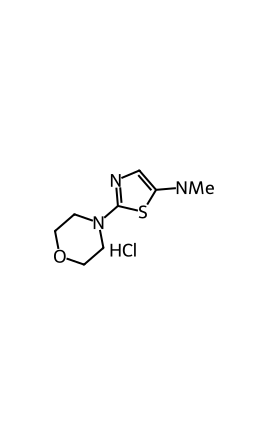 CNc1cnc(N2CCOCC2)s1.Cl